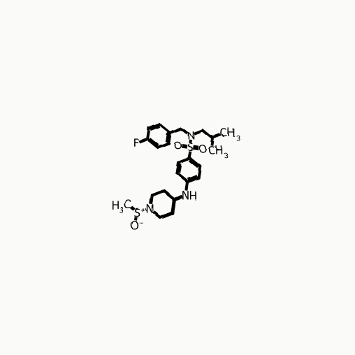 CC(C)CN(Cc1ccc(F)cc1)S(=O)(=O)c1ccc(NC2CCN([S+](C)[O-])CC2)cc1